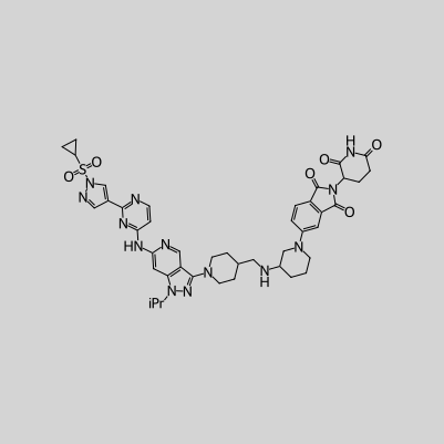 CC(C)n1nc(N2CCC(CNC3CCCN(c4ccc5c(c4)C(=O)N(C4CCC(=O)NC4=O)C5=O)C3)CC2)c2cnc(Nc3ccnc(-c4cnn(S(=O)(=O)C5CC5)c4)n3)cc21